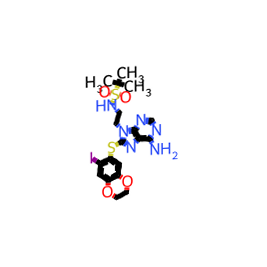 CC(C)(C)S(=O)(=O)NCCn1c(Sc2cc3c(cc2I)OCCO3)nc2c(N)ncnc21